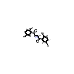 Cc1ccc(C)c(C(=O)/C=C/C(=O)c2cc(C)ccc2C)c1